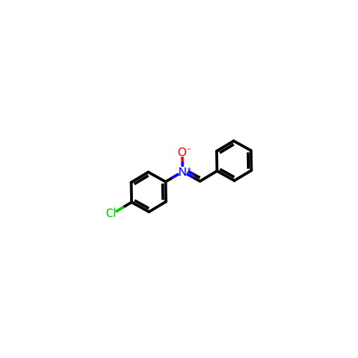 [O-][N+](=Cc1ccccc1)c1ccc(Cl)cc1